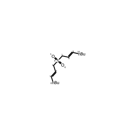 CCCCC=CCS(=O)(=O)CC=CCCCC